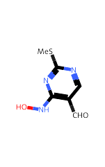 CSc1ncc(C=O)c(NO)n1